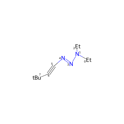 CCN(CC)N=NC#CC(C)(C)C